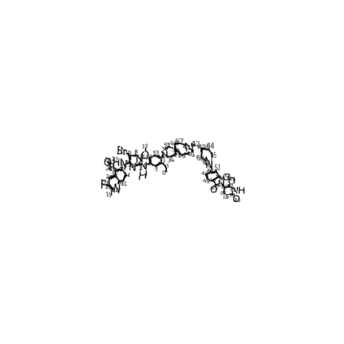 CCc1cc(Nc2ncc(Br)c(Nc3ccc4nc(C)c(F)cc4c3P(C)(C)=O)n2)c(OC)cc1N1CCC2(CCN(C[C@@H]3CCN(c4ccc5c(c4)C(=O)N(C4CCC(=O)NC4=O)C5=O)C3)CC2)CC1